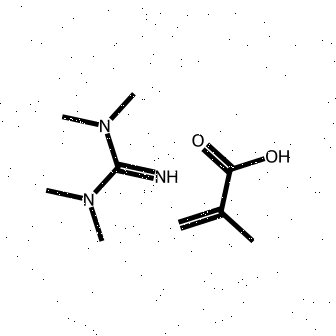 C=C(C)C(=O)O.CN(C)C(=N)N(C)C